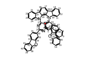 c1ccc(-c2cccc(-n3c4ccccc4c4ccc5c6ccccc6n(-c6nc(-c7ccc8c(c7)oc7ccccc78)nc(-c7cccc8c7oc7ccccc78)n6)c5c43)c2)cc1